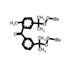 Cc1ccc(C(C)(C)OOC(C)(C)C)cc1C(=O)c1cccc(C(C)(C)OOC(C)(C)C)c1